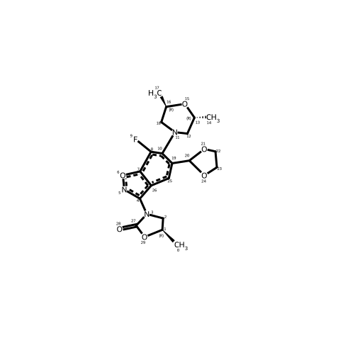 C[C@@H]1CN(c2noc3c(F)c(N4C[C@@H](C)O[C@H](C)C4)c(C4OCCO4)cc23)C(=O)O1